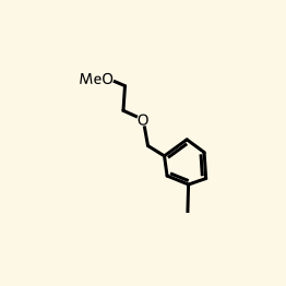 COCCOCc1cccc(C)c1